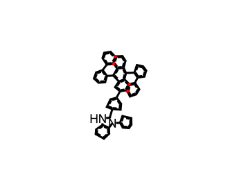 c1ccc(-c2ccccc2-c2c3ccccc3c(-c3ccccc3-c3ccccc3)c3cc(-c4ccc(C5Nc6ccccc6N5c5ccccc5)cc4)ccc23)cc1